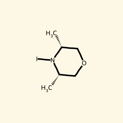 C[C@@H]1COC[C@H](C)N1I